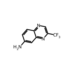 Nc1ccc2ncc(C(F)(F)F)nc2c1